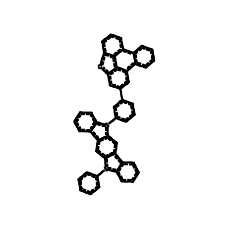 c1ccc(-n2c3ccccc3c3cc4c(cc32)c2ccccc2n4-c2cccc(-c3cc4oc5cccc6c7ccccc7c(c3)c4c56)c2)cc1